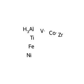 [AlH3].[Co].[Fe].[Ni].[Ti].[V].[Zr]